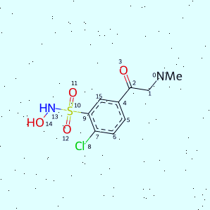 CNCC(=O)c1ccc(Cl)c(S(=O)(=O)NO)c1